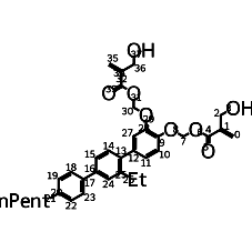 C=C(CO)C(=O)OCOc1ccc(-c2ccc(-c3ccc(CCCCC)cc3)cc2CC)cc1OCOC(=O)C(=C)CO